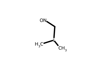 CI(C)CN=O